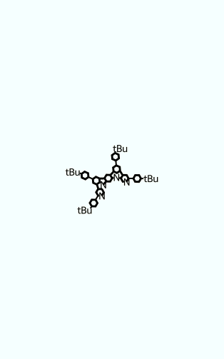 CC(C)(C)c1ccc(-c2cc3c4cc(-c5ccc(C(C)(C)C)cc5)ncc4n4c5cc6c(cc5c(c2)c34)c2cc(-c3ccc(C(C)(C)C)cc3)cc3c4cc(-c5ccc(C(C)(C)C)cc5)ncc4n6c32)cc1